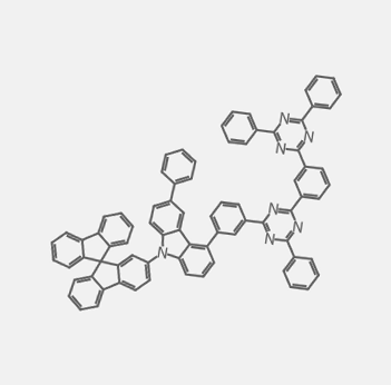 c1ccc(-c2ccc3c(c2)c2c(-c4cccc(-c5nc(-c6ccccc6)nc(-c6cccc(-c7nc(-c8ccccc8)nc(-c8ccccc8)n7)c6)n5)c4)cccc2n3-c2ccc3c(c2)C2(c4ccccc4-c4ccccc42)c2ccccc2-3)cc1